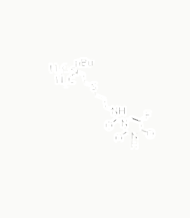 CCCC[Si](C)(C)CCSCCCNC(=O)n1cc(F)c(=O)[nH]c1=O